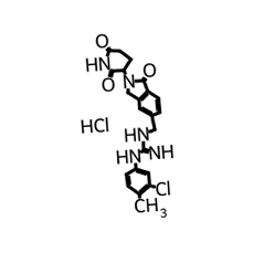 Cc1ccc(NC(=N)NCc2ccc3c(c2)CN(C2CCC(=O)NC2=O)C3=O)cc1Cl.Cl